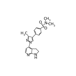 Cc1nn(-c2ccnc3c2CCN3)cc1-c1ccc(S(=O)(=O)N(C)C)cc1